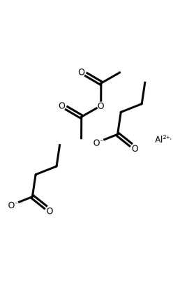 CC(=O)OC(C)=O.CCCC(=O)[O-].CCCC(=O)[O-].[Al+2]